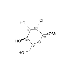 CO[C@H]1O[C@H](CO)[C@@H](O)[C@H](O)[C@@H]1Cl